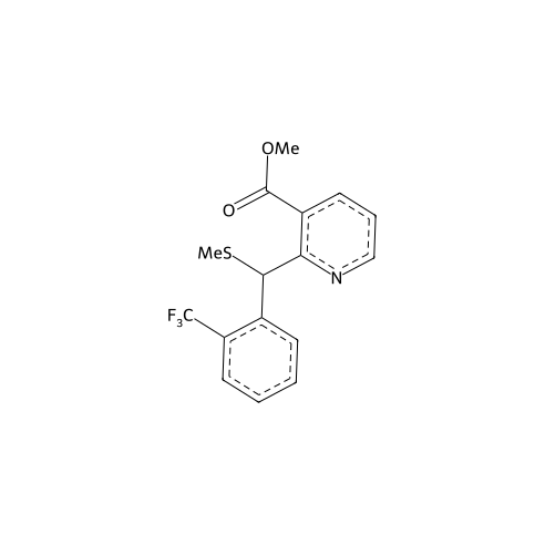 COC(=O)c1cccnc1C(SC)c1ccccc1C(F)(F)F